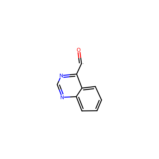 O=[C]c1ncnc2ccccc12